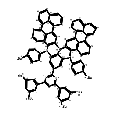 CC(C)(C)c1ccc(N2c3cc(-c4nc(-c5cc(C(C)(C)C)cc(C(C)(C)C)c5)cc(-c5cc(C(C)(C)C)cc(C(C)(C)C)c5)n4)cc4c3B(c3cc5c6cccc7cccc(c8cccc(c32)c85)c76)c2cc3c5cccc6cccc(c7cccc(c2N4c2ccc(C(C)(C)C)cc2)c73)c65)cc1